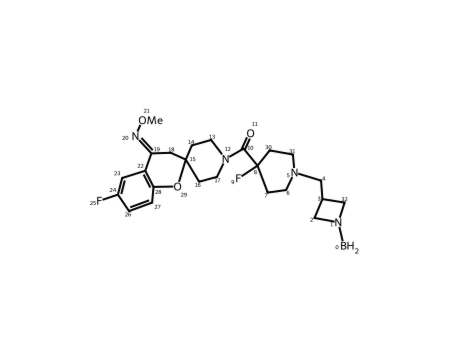 BN1CC(CN2CCC(F)(C(=O)N3CCC4(CC3)C/C(=N\OC)c3cc(F)ccc3O4)CC2)C1